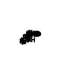 O=c1c(-n2ccnn2)c[nH]n1-c1cc(N2CC3(COC3)C2)ncn1